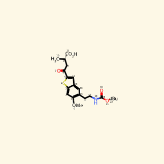 COc1cc2sc(C(=O)C[C@H](C)C(=O)O)cc2cc1CCNC(=O)OC(C)(C)C